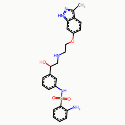 Cc1n[nH]c2cc(OCCNC[C@H](O)c3cccc(NS(=O)(=O)c4ccccc4N)c3)ccc12